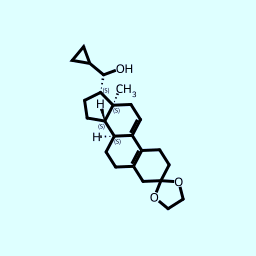 C[C@]12CC=C3C4=C(CC[C@H]3[C@@H]1CC[C@@H]2C(O)C1CC1)CC1(CC4)OCCO1